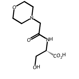 O=C(CN1CCOCC1)N[C@@H](CO)C(=O)O